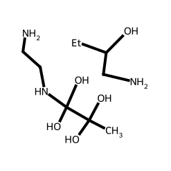 CC(O)(O)C(O)(O)NCCN.CCC(O)CN